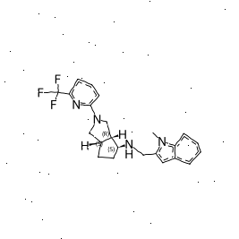 Cn1c(CN[C@H]2CC[C@@H]3CN(c4cccc(C(F)(F)F)n4)C[C@@H]32)cc2ccccc21